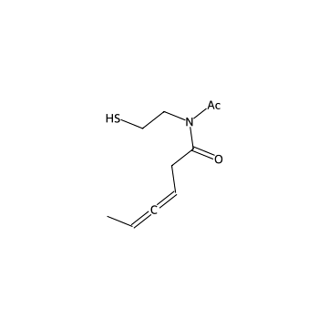 CC=C=CCC(=O)N(CCS)C(C)=O